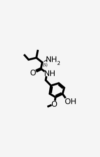 CCC(C)[C@H](N)C(=O)NCc1ccc(O)c(OC)c1